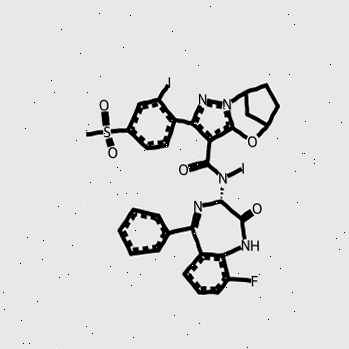 CS(=O)(=O)c1ccc(-c2nn3c(c2C(=O)N(I)[C@H]2N=C(c4ccccc4)c4cccc(F)c4NC2=O)OC2CCC3C2)c(I)c1